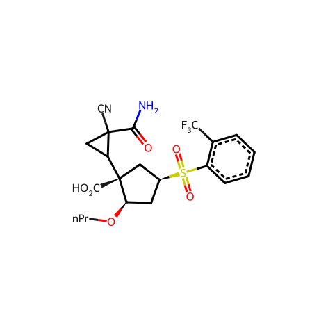 CCCO[C@@H]1C[C@H](S(=O)(=O)c2ccccc2C(F)(F)F)C[C@@]1(C(=O)O)C1CC1(C#N)C(N)=O